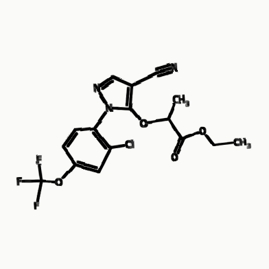 CCOC(=O)C(C)Oc1c(C#N)cnn1-c1ccc(OC(F)(F)F)cc1Cl